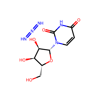 N=[N+]=N.O=c1ccn([C@@H]2O[C@H](CO)[C@@H](O)[C@H]2O)c(=O)[nH]1